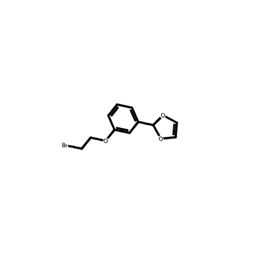 BrCCOc1cccc(C2OC=CO2)c1